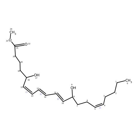 CCCC/C=C\CCC(O)/C=C/C=C/C=C\C(O)CCCC(=O)OC